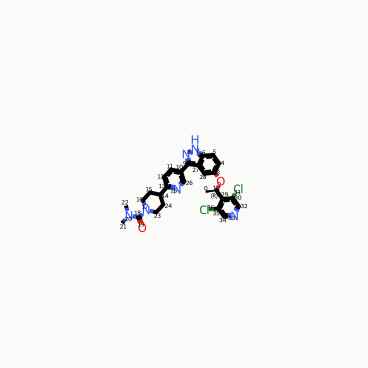 C[C@@H](Oc1ccc2[nH]nc(-c3ccc(C4CCN(C(=O)N(C)C)CC4)nc3)c2c1)c1c(Cl)cncc1Cl